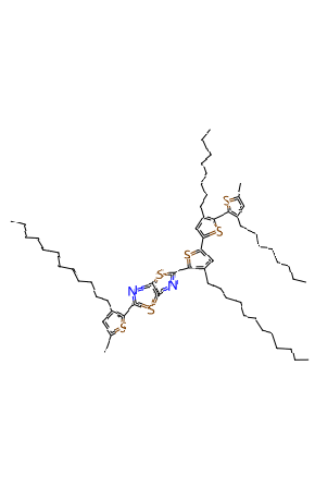 CCCCCCCCCCCCc1cc(C)sc1-c1nc2sc(-c3sc(-c4cc(CCCCCCCC)c(-c5sc(C)cc5CCCCCCCC)s4)cc3CCCCCCCCCCCC)nc2s1